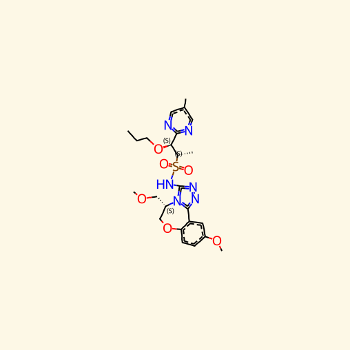 CCCO[C@@H](c1ncc(C)cn1)[C@H](C)S(=O)(=O)Nc1nnc2n1[C@@H](COC)COc1ccc(OC)cc1-2